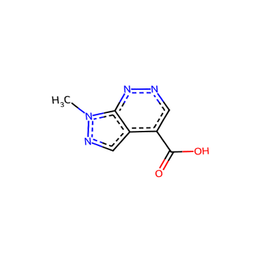 Cn1ncc2c(C(=O)O)cnnc21